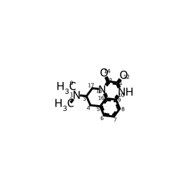 CN(C)C1Cc2cccc3[nH]c(=O)c(=O)n(c23)C1